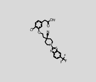 N#CC1(CCOc2cc(CC(=O)O)ccc2Cl)CCN(c2nc3ccc(C(F)(F)F)cc3s2)CC1